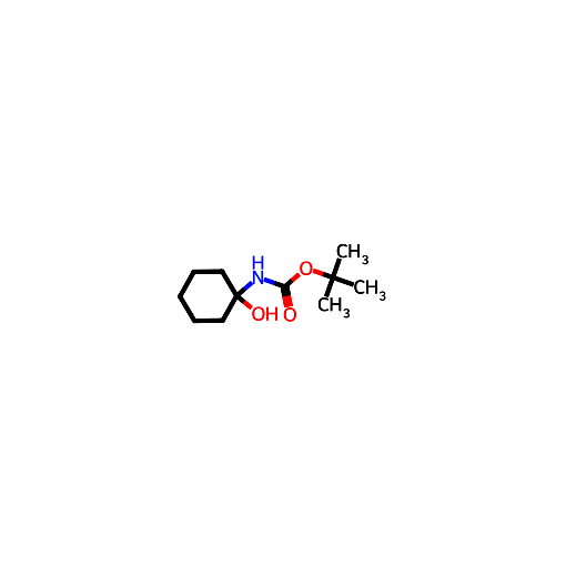 CC(C)(C)OC(=O)NC1(O)CCCCC1